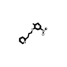 Cc1ccc([N+](=O)[O-])cc1SCCCc1ccccn1